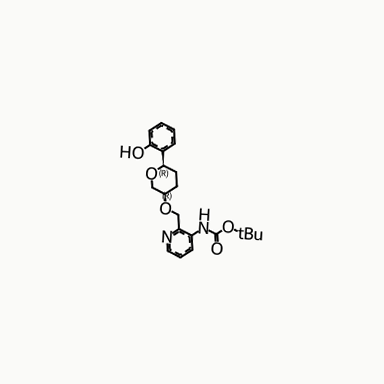 CC(C)(C)OC(=O)Nc1cccnc1CO[C@@H]1CC[C@H](c2ccccc2O)OC1